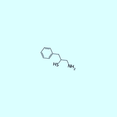 NCC(S)Cc1ccccc1